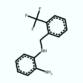 Nc1ccccc1NCc1ccccc1C(F)(F)F